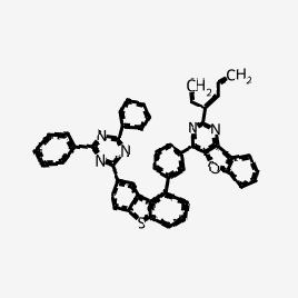 C=C/C=C(\C=C)c1nc(-c2cccc(-c3cccc4sc5ccc(-c6nc(-c7ccccc7)nc(-c7ccccc7)n6)cc5c34)c2)c2oc3ccccc3c2n1